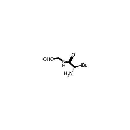 CC[C@H](C)[C@H](N)C(=O)NC[C]=O